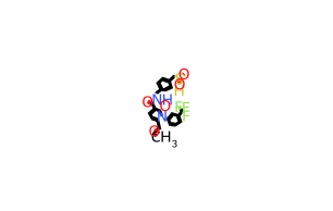 COCc1ccc(C(=O)NCc2ccc(C[SH](=O)=O)cc2)c(=O)n1-c1cccc(C(F)(F)F)c1